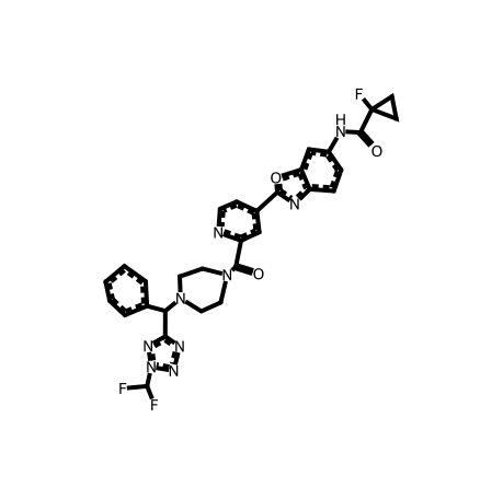 O=C(c1cc(-c2nc3ccc(NC(=O)C4(F)CC4)cc3o2)ccn1)N1CCN(C(c2ccccc2)c2nnn(C(F)F)n2)CC1